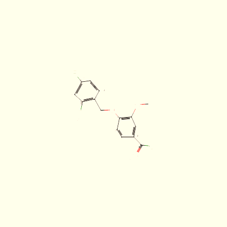 COc1cc(C(=O)Cl)ccc1OCc1ccc(F)cc1F